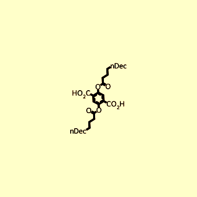 CCCCCCCCCCCCCC(=O)Oc1cc(C(=O)O)c(OC(=O)CCCCCCCCCCCCC)cc1C(=O)O